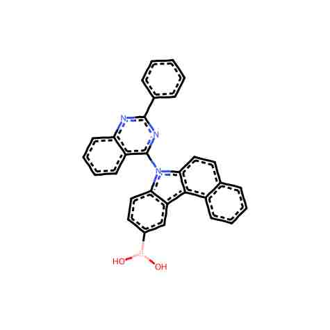 OB(O)c1ccc2c(c1)c1c3ccccc3ccc1n2-c1nc(-c2ccccc2)nc2ccccc12